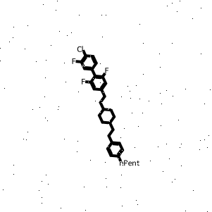 CCCCCc1ccc(CCC2CCC(CCc3cc(F)c(-c4ccc(Cl)c(F)c4)c(F)c3)CC2)cc1